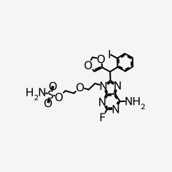 Nc1nc(F)nc2c1nc(C(C1=COCO1)c1ccccc1I)n2CCOCCOS(N)(=O)=O